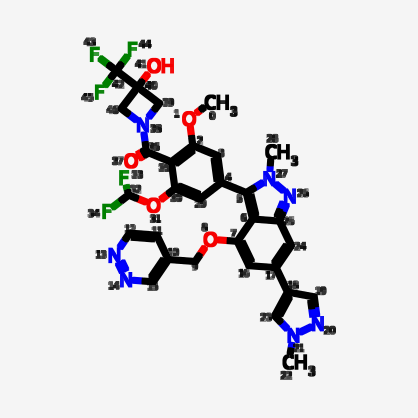 COc1cc(-c2c3c(OCc4ccnnc4)cc(-c4cnn(C)c4)cc3nn2C)cc(OC(F)F)c1C(=O)N1CC(O)(C(F)(F)F)C1